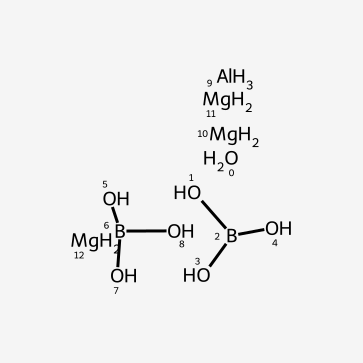 O.OB(O)O.OB(O)O.[AlH3].[MgH2].[MgH2].[MgH2]